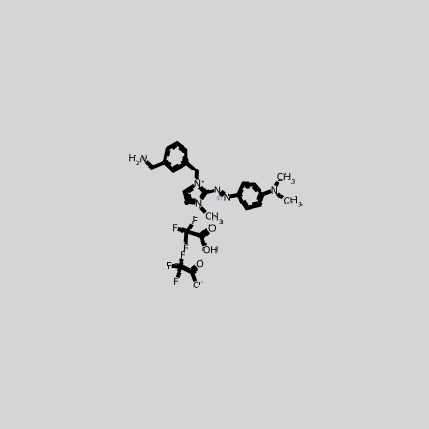 CN(C)c1ccc(/N=N/c2n(C)cc[n+]2Cc2cccc(CN)c2)cc1.O=C(O)C(F)(F)F.O=C([O-])C(F)(F)F